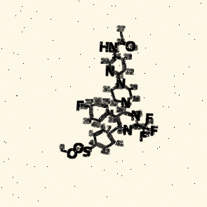 COOSc1ccc(-c2nc(C(F)(F)F)nc(N3CCN(c4ccc(NC(C)=O)cn4)CC3)c2-c2ccc(F)cc2)cc1